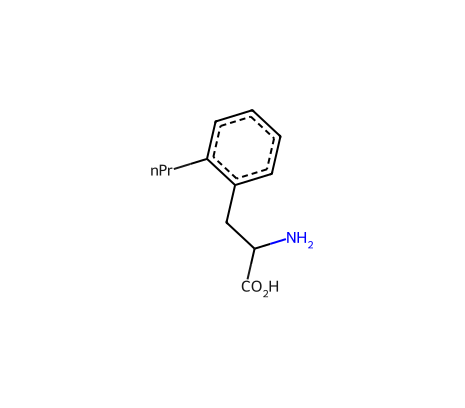 CCCc1ccccc1CC(N)C(=O)O